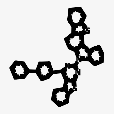 c1ccc(-c2ccc(-c3nc(-n4c5ccccc5c5c6sc7ccccc7c6ccc54)nc4sc5ccccc5c34)cc2)cc1